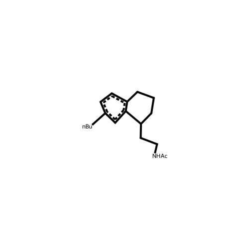 CCCCc1ccc2c(c1)C(CCNC(C)=O)CCC2